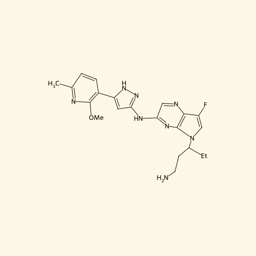 CCC(CCN)n1cc(F)c2ncc(Nc3cc(-c4ccc(C)nc4OC)[nH]n3)nc21